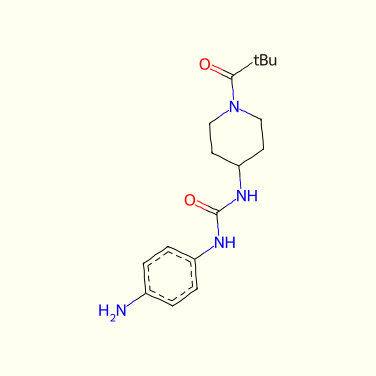 CC(C)(C)C(=O)N1CCC(NC(=O)Nc2ccc(N)cc2)CC1